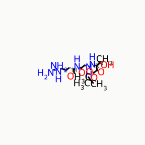 C[C@@H](O)[C@H](NNCC(=O)N[C@H](C=O)CCCNC(N)N)C(=O)C(=O)OC(C)(C)C